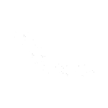 CN(C1CC1)C1CCc2nc(NC(=O)c3cccc(Cn4cc(-c5ccc(C#N)cc5)nn4)c3)sc2C1